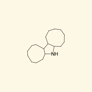 C1CCCC2NC3CCCCCCCC3C2CCC1